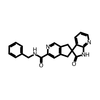 O=C(NCc1ccccc1)c1cc2c(cn1)CC1(C2)C(=O)Nc2ncccc21